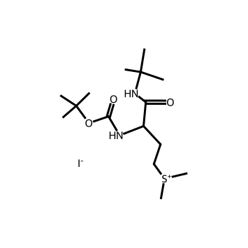 C[S+](C)CCC(NC(=O)OC(C)(C)C)C(=O)NC(C)(C)C.[I-]